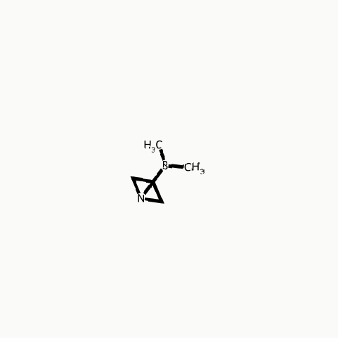 CB(C)C12CN1C2